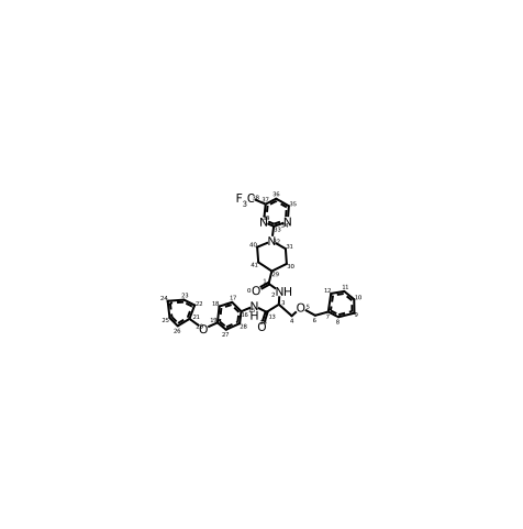 O=C(NC(COCc1ccccc1)C(=O)Nc1ccc(Oc2ccccc2)cc1)C1CCN(c2nccc(C(F)(F)F)n2)CC1